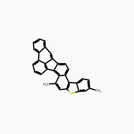 Cc1ccc2c(c1)sc1cc(C)c3c4c(ccc3c12)-c1cc2ccccc2c2cccc-4c12